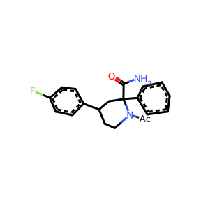 CC(=O)N1CCC(c2ccc(F)cc2)CC1(C(N)=O)c1ccccc1